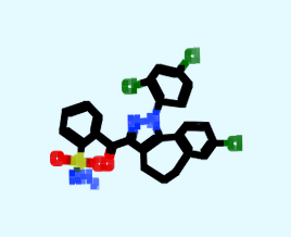 NS(=O)(=O)c1ccccc1C(=O)c1nn(-c2ccc(Cl)cc2Cl)c2c1CCCc1cc(Cl)ccc1-2